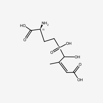 CC(=CC(=O)O)C(O)P(=O)(O)CC[C@H](N)C(=O)O